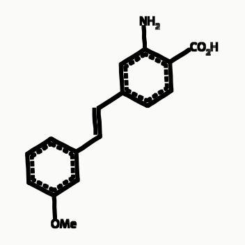 COc1cccc(/C=C/c2ccc(C(=O)O)c(N)c2)c1